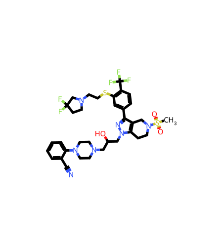 CS(=O)(=O)N1CCc2c(c(-c3ccc(C(F)(F)F)c(SCCN4CCC(F)(F)C4)c3)nn2CC(O)CN2CCN(c3ccccc3C#N)CC2)C1